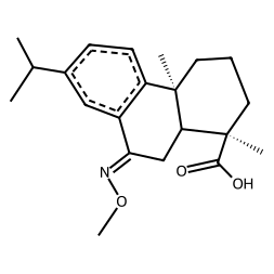 CO/N=C1\CC2[C@](C)(C(=O)O)CCC[C@]2(C)c2ccc(C(C)C)cc21